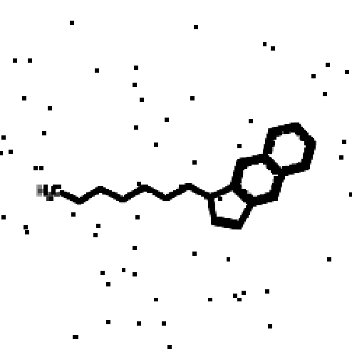 CCCCCCC[C]1C=Cc2cc3ccccc3cc21